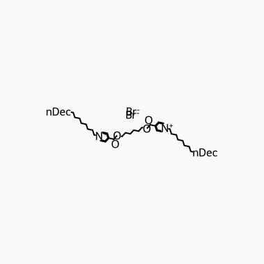 CCCCCCCCCCCCCCCCCC[n+]1ccc(C(=O)OCCCCCCOC(=O)c2cc[n+](CCCCCCCCCCCCCCCCCC)cc2)cc1.[Br-].[Br-]